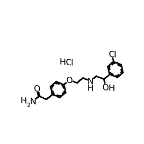 Cl.NC(=O)Cc1ccc(OCCNCC(O)c2cccc(Cl)c2)cc1